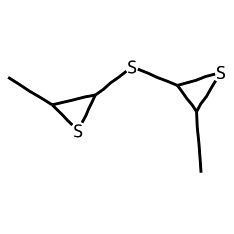 CC1SC1SC1SC1C